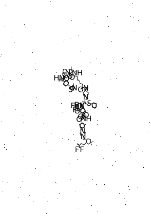 C=C(CCC1=C(CN2CCN(c3ccc(C(=O)NS(=O)(=O)c4ccc(N[C@H](CCN5CCC(N(C)C(=O)CCCCCC(=O)NC(C(=O)N6CCC[C@H]6C(=O)N[C@@H](C)c6ccc(-c7scnc7C)cc6)C(C)(C)C)CC5)CSc5ccccc5)c(S(=O)(=O)C(F)(F)F)c4)cc3)CC2)CCC(C)(C)C1)C(F)F